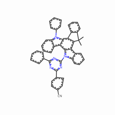 CC1(C)c2ccccc2-c2c1c1c3ccccc3n(-c3nc(-c4ccccc4)nc(-c4ccc(C#N)cc4)n3)c1c1c3ccccc3n(-c3ccccc3)c21